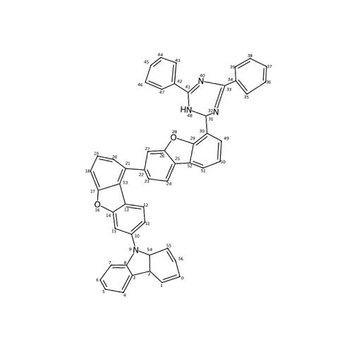 C1=CC2c3ccccc3N(c3ccc4c(c3)oc3cccc(-c5ccc6c(c5)oc5c(C7N=C(c8ccccc8)N=C(c8ccccc8)N7)cccc56)c34)C2C=C1